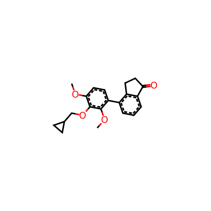 COc1ccc(-c2cccc3c2CCC3=O)c(OC)c1OCC1CC1